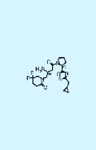 N[C@@H](CC(=O)N1CCC[C@H]1c1nc(CC2CC2)no1)CN1CC(F)(F)CCC1=O